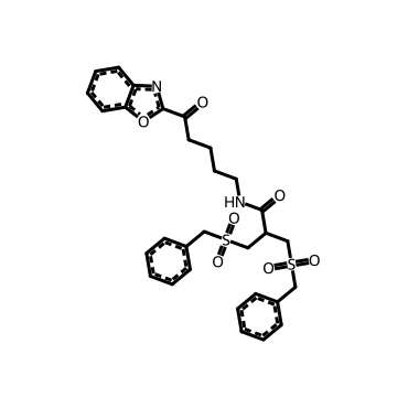 O=C(CCCCNC(=O)C(CS(=O)(=O)Cc1ccccc1)CS(=O)(=O)Cc1ccccc1)c1nc2ccccc2o1